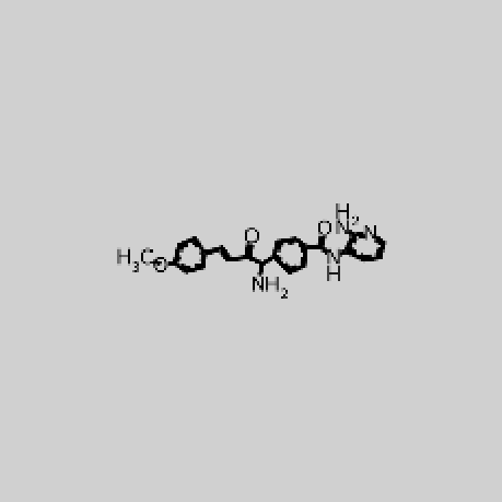 COc1ccc(/C=C/C(=O)C(N)c2ccc(C(=O)Nc3cccnc3N)cc2)cc1